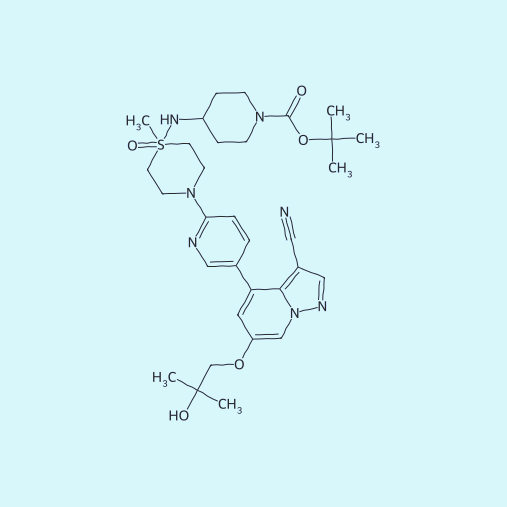 CC(C)(O)COc1cc(-c2ccc(N3CCS(C)(=O)(NC4CCN(C(=O)OC(C)(C)C)CC4)CC3)nc2)c2c(C#N)cnn2c1